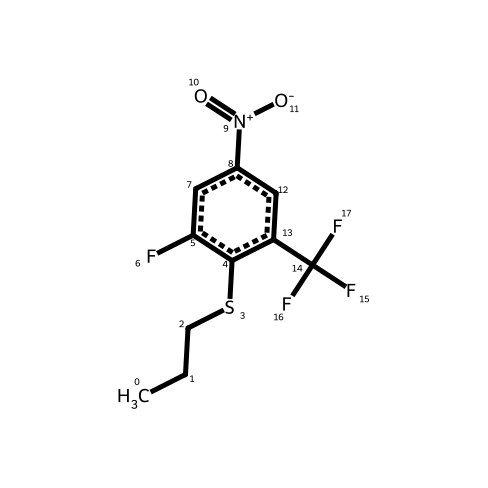 CCCSc1c(F)cc([N+](=O)[O-])cc1C(F)(F)F